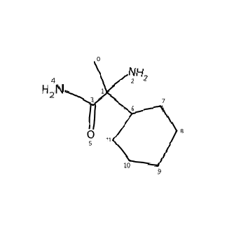 CC(N)(C(N)=O)C1CCCCC1